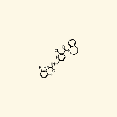 O=C(NCc1ccc(C(=O)N2CCCCc3ccccc32)c(Cl)n1)Nc1c(F)cccc1F